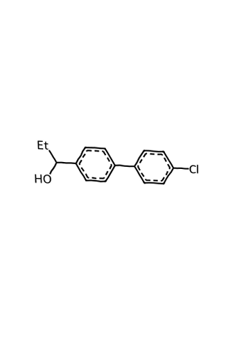 CCC(O)c1ccc(-c2ccc(Cl)cc2)cc1